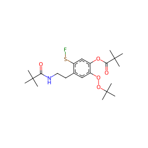 CC(C)(C)OOc1cc(CCNC(=O)C(C)(C)C)c(SF)cc1OC(=O)C(C)(C)C